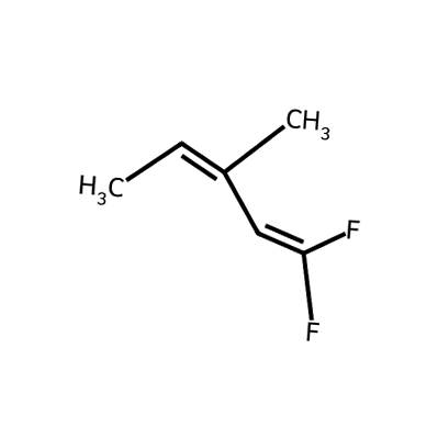 C/C=C(/C)C=C(F)F